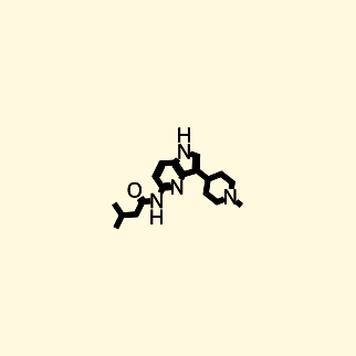 CC(C)CC(=O)Nc1ccc2[nH]cc(C3CCN(C)CC3)c2n1